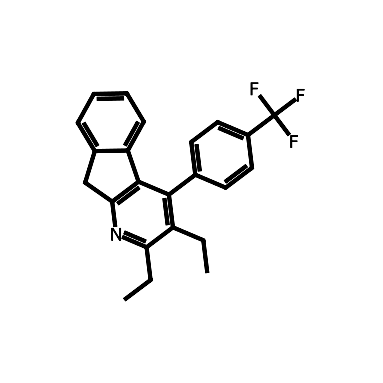 CCc1nc2c(c(-c3ccc(C(F)(F)F)cc3)c1CC)-c1ccccc1C2